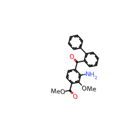 COC(=O)c1ccc(C(=O)c2ccccc2-c2ccccc2)c(N)c1OC